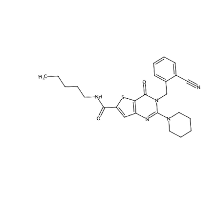 CCCCCNC(=O)c1cc2nc(N3CCCCC3)n(Cc3ccccc3C#N)c(=O)c2s1